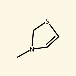 CN1C=CSC1